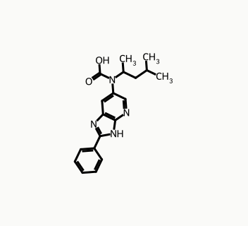 CC(C)CC(C)N(C(=O)O)c1cnc2[nH]c(-c3ccccc3)nc2c1